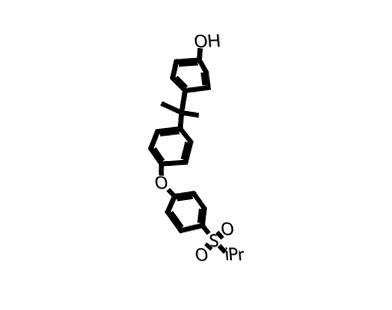 CC(C)S(=O)(=O)c1ccc(Oc2ccc(C(C)(C)c3ccc(O)cc3)cc2)cc1